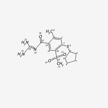 Cc1cc(SC2CCCC2)c(S(C)(=O)=O)cc1C(=O)N=C(N)N